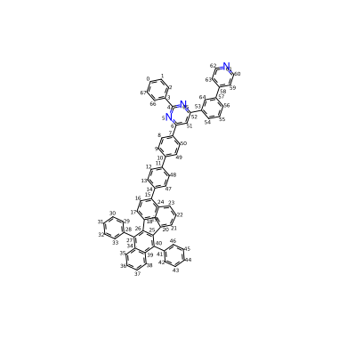 c1ccc(-c2nc(-c3ccc(-c4ccc(-c5ccc6c7c(cccc57)-c5c-6c(-c6ccccc6)c6ccccc6c5-c5ccccc5)cc4)cc3)cc(-c3cccc(-c4ccncc4)c3)n2)cc1